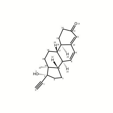 C#C[C@]1(O)CC[C@H]2[C@@H]3C=CC4=CC(=O)CC[C@@H]4[C@H]3CC[C@@]21C